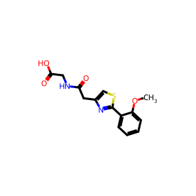 COc1ccccc1-c1nc(CC(=O)NCC(=O)O)cs1